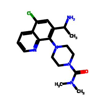 CC(N)c1cc(Cl)c2cccnc2c1N1CCN(C(=O)N(C)C)CC1